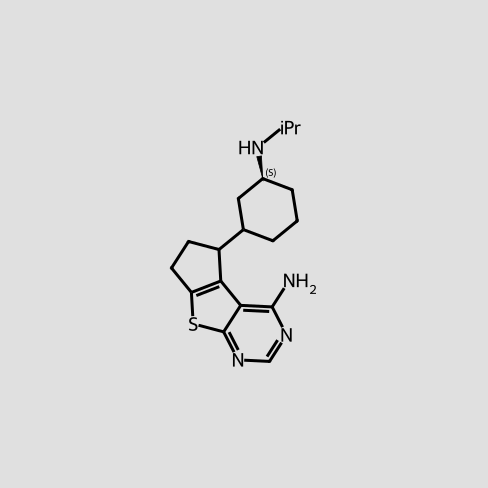 CC(C)N[C@H]1CCCC(C2CCc3sc4ncnc(N)c4c32)C1